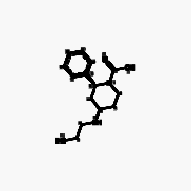 O=C(O)N1CCC(NCCO)C[C@H]1c1ccccc1